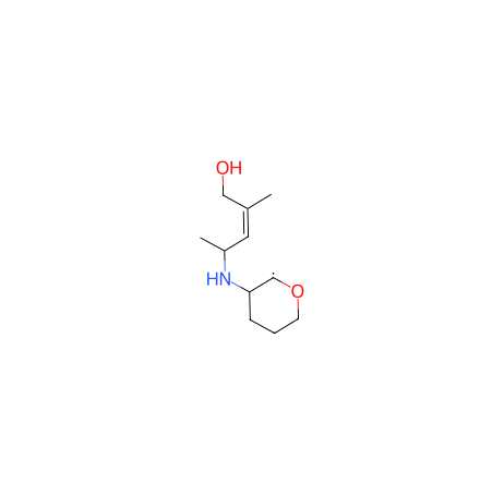 C/C(=C/C(C)NC1[CH]OCCC1)CO